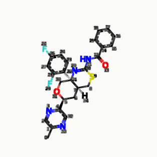 Cc1cnc([C@@H]2C[C@@H]3CSC(NC(=O)c4ccccc4)=N[C@]3(c3ccc(F)cc3F)CO2)cn1